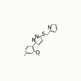 COc1cc(C)ccc1-c1ccc(SCc2ccccn2)nn1